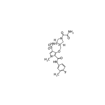 Cc1cc(NC(=O)c2c3c(cn2C)S(=O)(=O)N[C@H]2CN(C(=O)C(N)=O)C[C@H]2CO3)ccc1F